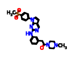 CN1CCN(C(=O)Cc2cccc(Nc3ncc4ccn(-c5ccc(S(C)(=O)=O)cc5)c4n3)c2)CC1